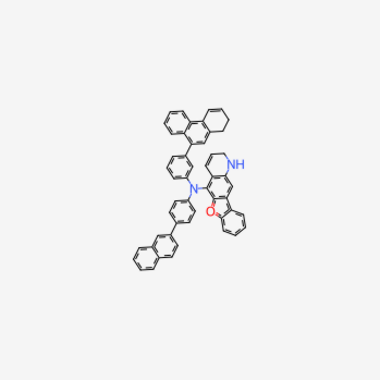 C1=Cc2c(cc(-c3cccc(N(c4ccc(-c5ccc6ccccc6c5)cc4)c4c5c(cc6c4oc4ccccc46)NCC=C5)c3)c3ccccc23)CC1